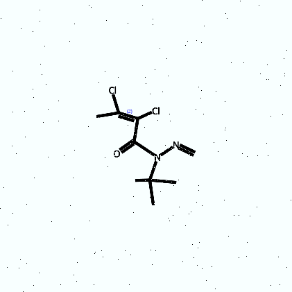 C=NN(C(=O)/C(Cl)=C(\C)Cl)C(C)(C)C